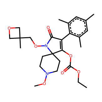 CCOC(=O)OC1=C(c2c(C)cc(C)cc2C)C(=O)N(OCC2(C)COC2)C12CCN(OC)CC2